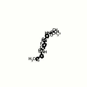 Cc1csc(-c2cccc(C(=O)N[C@H](Cc3ccc(-c4noc(-c5ccc(NC(=O)OC(C)(C)C)cc5)n4)c(F)c3)C(=O)O)c2)c1